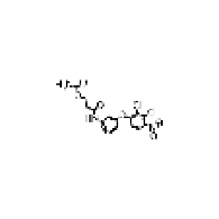 NC(=O)OCCC(=O)Nc1cc(Oc2ccc([N+](=O)[O-])c(Cl)c2Cl)ccn1